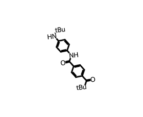 CC(C)(C)Nc1ccc(NC(=O)c2ccc(C(=O)C(C)(C)C)cc2)cc1